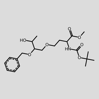 COC(=O)C(CCOCC(OCc1ccccc1)C(C)O)NC(=O)OC(C)(C)C